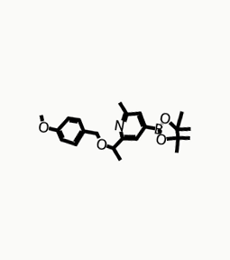 COc1ccc(COC(C)c2cc(B3OC(C)(C)C(C)(C)O3)cc(C)n2)cc1